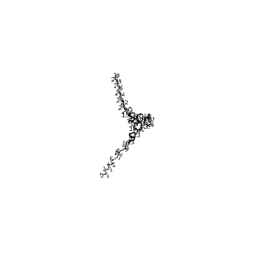 CCCCCCCCCCCCSCc1cc(CSCCCCCCCCCCCC)c(O)c(C2CCCCC2)c1